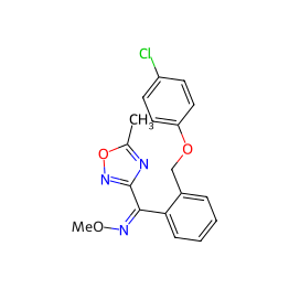 CON=C(c1noc(C)n1)c1ccccc1COc1ccc(Cl)cc1